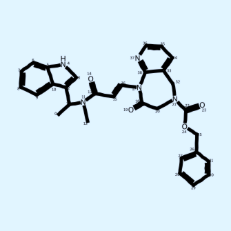 CC(c1c[nH]c2ccccc12)N(C)C(=O)C=CN1C(=O)CN(C(=O)OCc2ccccc2)Cc2cccnc21